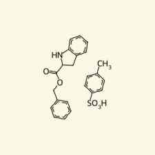 Cc1ccc(S(=O)(=O)O)cc1.O=C(OCc1ccccc1)C1Cc2ccccc2N1